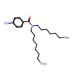 CCCCCCCCCCCCCCCCN(CCCCCCCC(=O)O)C(=O)c1ccc(N)cc1